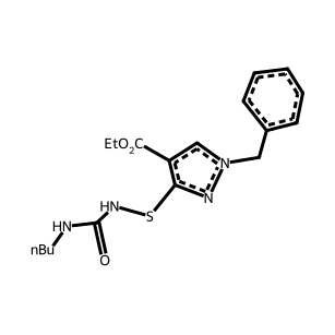 CCCCNC(=O)NSc1nn(Cc2ccccc2)cc1C(=O)OCC